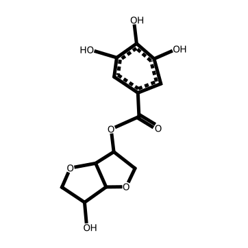 O=C(OC1COC2C(O)COC12)c1cc(O)c(O)c(O)c1